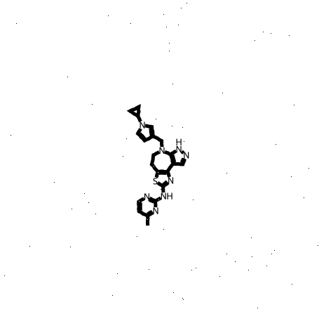 Cc1ccnc(Nc2nc3c(s2)CCN(Cc2ccn(C4CC4)c2)c2[nH]ncc2-3)n1